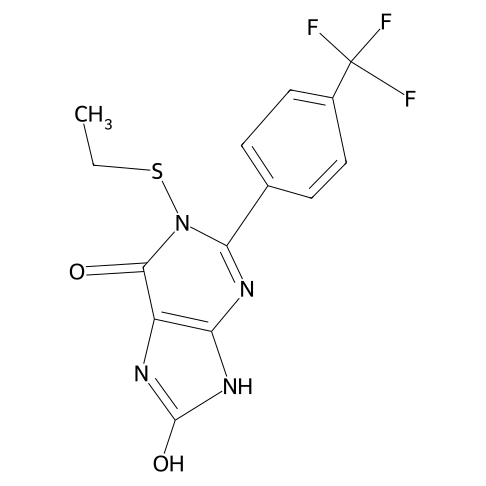 CCSn1c(-c2ccc(C(F)(F)F)cc2)nc2[nH]c(O)nc2c1=O